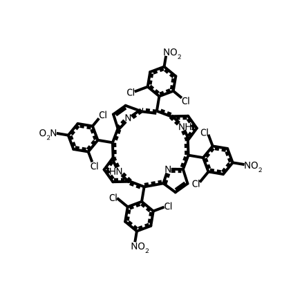 O=[N+]([O-])c1cc(Cl)c(-c2c3nc(c(-c4c(Cl)cc([N+](=O)[O-])cc4Cl)c4ccc([nH]4)c(-c4c(Cl)cc([N+](=O)[O-])cc4Cl)c4nc(c(-c5c(Cl)cc([N+](=O)[O-])cc5Cl)c5ccc2[nH]5)C=C4)C=C3)c(Cl)c1